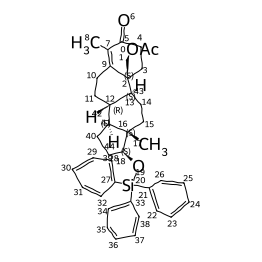 CC(=O)OC[C@]12CCC(=O)C(C)=C1CC[C@@H]1[C@@H]2CC[C@]2(C)[C@@H](O[Si](c3ccccc3)(c3ccccc3)c3ccccc3)CC[C@@H]12